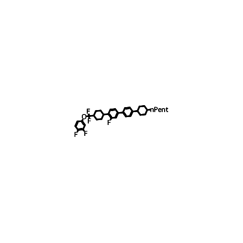 CCCCCC1CCC(c2ccc(-c3ccc(C4CCC(C(F)(F)Oc5ccc(F)c(F)c5)CC4)c(F)c3)cc2)CC1